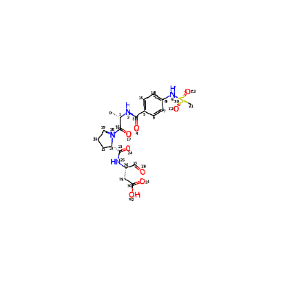 C[C@H](NC(=O)c1ccc(NS(C)(=O)=O)cc1)C(=O)N1CCC[C@H]1C(=O)N[C@H](C=O)CC(=O)O